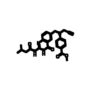 C#CCN(Cc1ccc2nc(NC(=O)CC(C)C)[nH]c(=O)c2c1)c1ccc(C(=O)OC)cc1